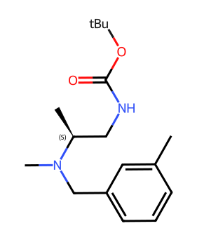 Cc1cccc(CN(C)[C@@H](C)CNC(=O)OC(C)(C)C)c1